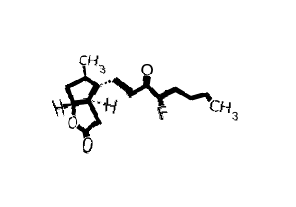 CCCCC(F)C(=O)C=C[C@@H]1[C@H]2CC(=O)O[C@@H]2C[C@H]1C